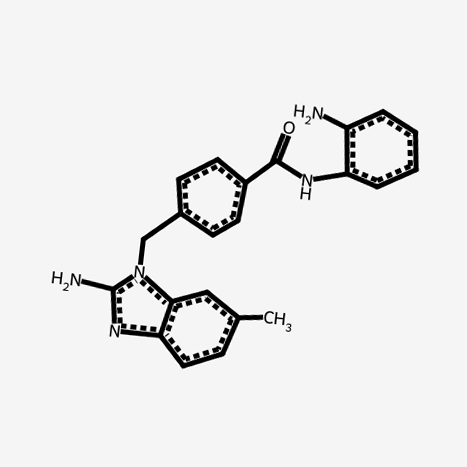 Cc1ccc2nc(N)n(Cc3ccc(C(=O)Nc4ccccc4N)cc3)c2c1